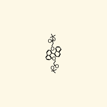 CC(C)(C)OC(=O)CCOc1ccc2ccccc2c1-c1c(OCCC(=O)OC(C)(C)C)ccc2ccccc12